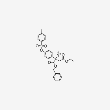 CCOC(=O)CC(N)(C(=O)OCc1ccccc1)c1ccc(OS(=O)(=O)c2ccc(C)cc2)cc1